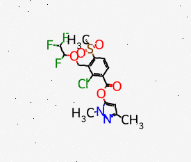 Cc1cc(OC(=O)c2ccc(S(C)(=O)=O)c(COC(F)C(F)F)c2Cl)n(C)n1